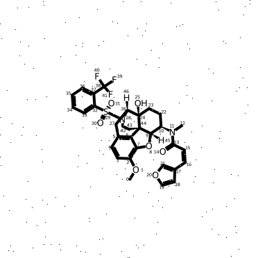 COc1ccc2c3c1O[C@H]1[C@H](N(C)C(=O)/C=C\c4ccoc4)CC[C@@]4(O)[C@@H](C2)N(S(=O)(=O)c2ccccc2C(F)(F)F)CC[C@]314